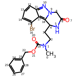 CN(CCC1NC(=O)Cn2nc3cccc(Br)c3c21)C(=O)OCc1ccccc1